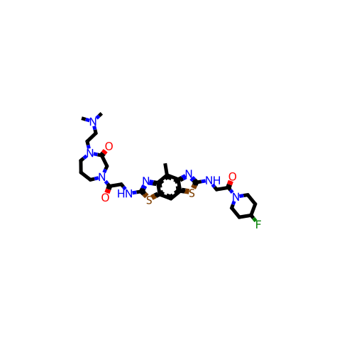 Cc1c2nc(NCC(=O)N3CCC(F)CC3)sc2cc2sc(NCC(=O)N3CCCN(CCN(C)C)C(=O)C3)nc12